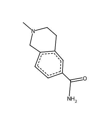 CN1CCc2cc(C(N)=O)ccc2C1